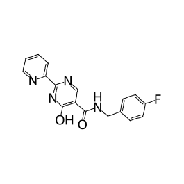 O=C(NCc1ccc(F)cc1)c1cnc(-c2ccccn2)nc1O